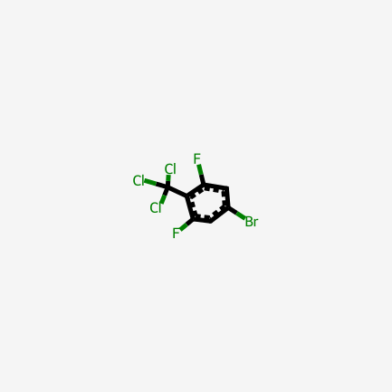 Fc1cc(Br)cc(F)c1C(Cl)(Cl)Cl